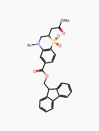 COC(=O)CC1CN(C(C)=O)c2cc(C(=O)OCC3c4ccccc4-c4ccccc43)ccc2S1(=O)=O